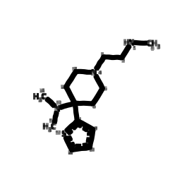 CNCCN1CCC(c2cccs2)(N(C)C)CC1